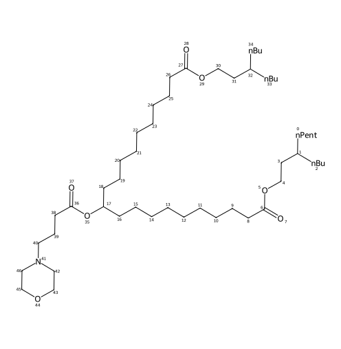 CCCCCC(CCCC)CCOC(=O)CCCCCCCCCC(CCCCCCCCCC(=O)OCCC(CCCC)CCCC)OC(=O)CCCN1CCOCC1